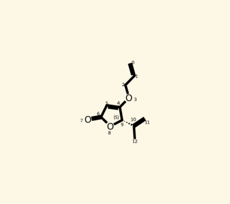 C=CCOC1=CC(=O)O[C@H]1C(=C)C